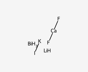 [BiH3].[F][Ca][F].[K][I].[LiH]